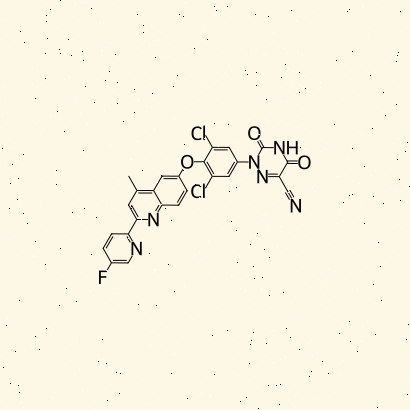 Cc1cc(-c2ccc(F)cn2)nc2ccc(Oc3c(Cl)cc(-n4nc(C#N)c(=O)[nH]c4=O)cc3Cl)cc12